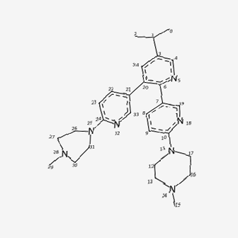 CC(C)c1cnc(-c2ccc(N3CCN(C)CC3)nc2)c(-c2ccc(N3CCN(C)CC3)nc2)c1